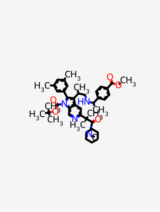 COC(=O)c1ccc(C(C)NCC(C)c2c(-c3cc(C)cc(C)c3)n(C(=O)OC(C)(C)C)c3cnc(C(C)(C)C(=O)N4CC5CCC4CC5)cc23)cc1